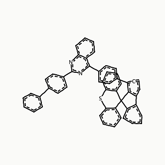 c1ccc(-c2ccc(-c3nc(-c4ccc(-c5cccc6c5C5(c7ccccc7Sc7ccccc75)c5ccccc5-6)cc4)c4ccccc4n3)cc2)cc1